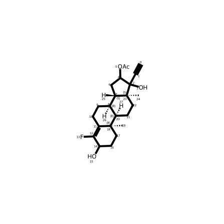 C#CC1(O)C(OC(C)=O)C[C@H]2[C@@H]3CCC4=C(F)C(O)CC[C@]4(C)[C@@H]3CC[C@@]21C